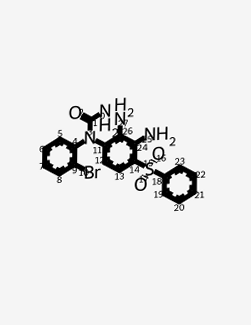 NC(=O)N(c1ccccc1Br)c1ccc(S(=O)(=O)c2ccccc2)c(N)c1N